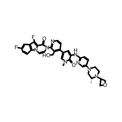 C[C@@H]1CN(c2ccc(Nc3cc(-c4ccnc(-n5ccn6c(c(F)c7cc(F)ccc76)c5=O)c4CO)cn(C)c3=O)nc2)CCN1C1COC1